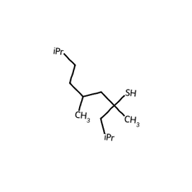 CC(C)CCC(C)CC(C)(S)CC(C)C